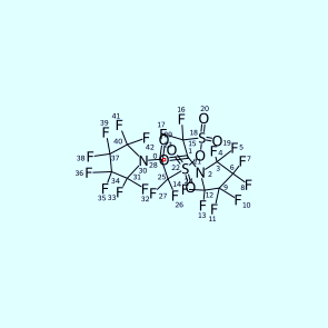 O=C(N1C(F)(F)C(F)(F)C(F)(F)C1(F)F)C(F)(F)S(=O)(=O)OS(=O)(=O)C(F)(F)C(=O)N1C(F)(F)C(F)(F)C(F)(F)C1(F)F